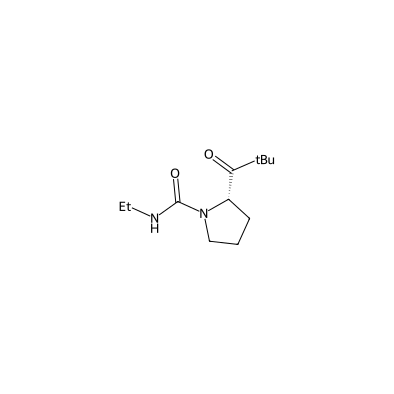 CCNC(=O)N1CCC[C@H]1C(=O)C(C)(C)C